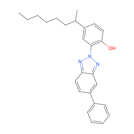 CCCCCCC(C)c1ccc(O)c(-n2nc3ccc(-c4ccccc4)cc3n2)c1